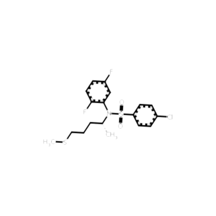 CSCCC[C@@H](C)N(c1cc(F)ccc1F)S(=O)(=O)c1ccc(Cl)cc1